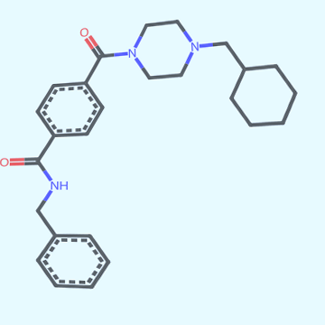 O=C(NCc1ccccc1)c1ccc(C(=O)N2CCN(CC3CCCCC3)CC2)cc1